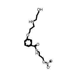 O=C(NCCCO[N+](=O)[O-])c1cccc(OCCCNCCCO)c1